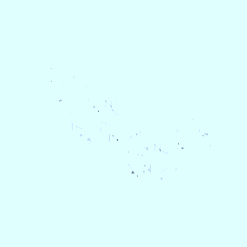 CC(C)[C@H]1CC[C@H](n2ncc(NC(=O)c3cnn4ccc(N5CCOCC5)nc34)c2C(F)F)CC1